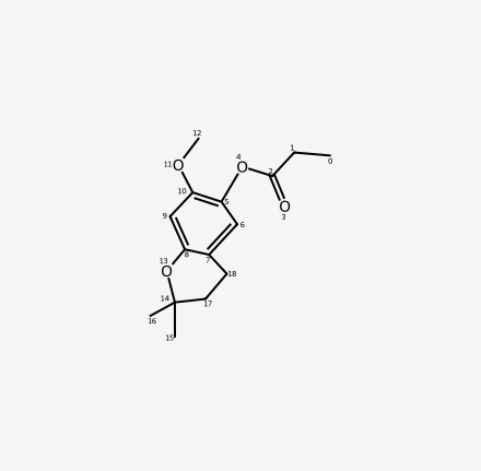 CCC(=O)Oc1cc2c(cc1OC)OC(C)(C)CC2